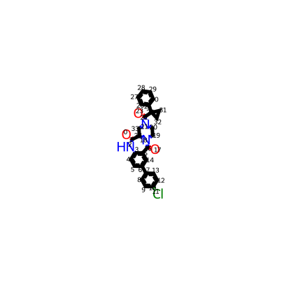 O=C1Nc2ccc(-c3ccc(Cl)cc3)cc2C(=O)N2CCN(C(=O)C3(c4ccccc4)CC3)CC12